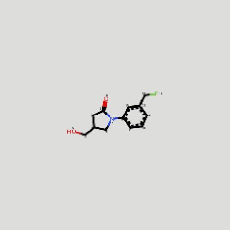 O=C1CC(CO)CN1c1cccc(CF)c1